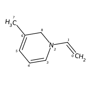 C=CN1C=CC=C(C)C1